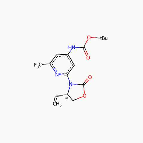 C=C[C@H]1COC(=O)N1c1cc(NC(=O)OC(C)(C)C)cc(C(F)(F)F)n1